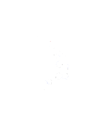 Cn1cc(-c2cc(-c3ccc(N4[C@@H]5CC6C[C@H]4CC(NC(=O)OC(C)(C)C)(C6)C5)nc3)c3c(C#N)cnn3c2)cn1